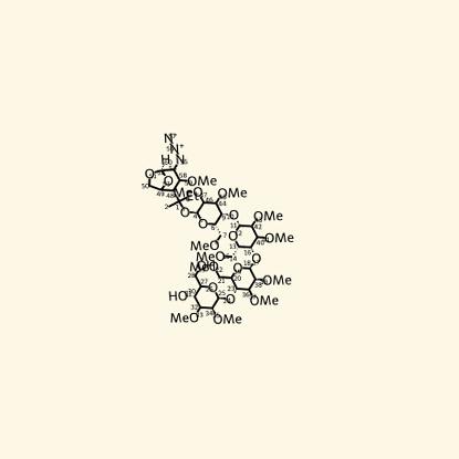 CCC(C)(O[C@@H]1O[C@@H](COC)[C@@H](O[C@H]2O[C@@H](COC)[C@@H](O[C@@H]3OC(COC)[C@@H](O[C@@H]4OC(CO)[C@@H](O)C(OC)[C@@H]4OC)C(OC)[C@@H]3OC)C(OC)C2OC)C(OC)C1OC)[C@H]1C2CO[C@H](O2)[C@@H](N=[N+]=[N-])C1OC